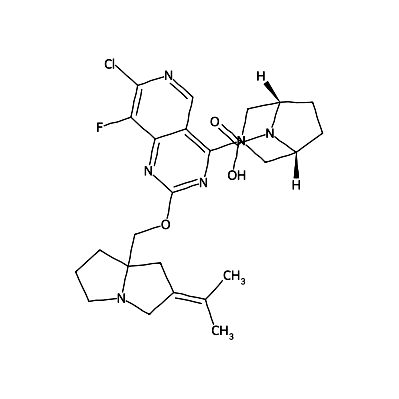 CC(C)=C1CN2CCCC2(COc2nc(N3C[C@H]4CC[C@@H](C3)N4C(=O)O)c3cnc(Cl)c(F)c3n2)C1